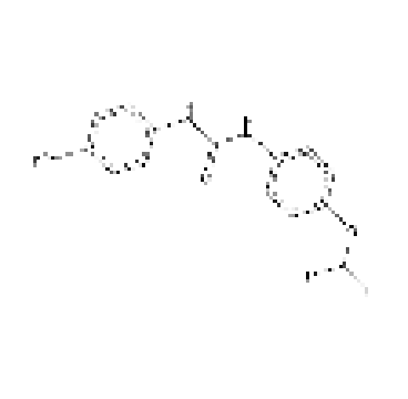 CCCc1ccc(NC(=O)Nc2ccc(OC(F)F)cc2)cc1